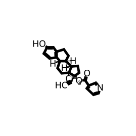 C#C[C@]1(OC(=O)c2cccnc2)CC[C@H]2[C@@H]3CCc4cc(O)ccc4[C@H]3CC[C@@]21C